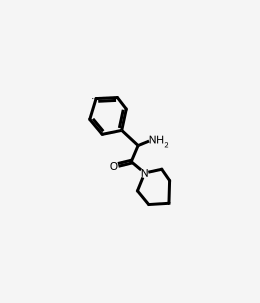 NC(C(=O)N1CCCCC1)c1cc[c]cc1